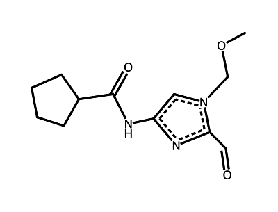 COCn1cc(NC(=O)C2CCCC2)nc1C=O